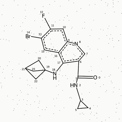 O=C(NC1CC1)c1cnc2cc(F)c(Br)cc2c1NC12CC(C1)C2